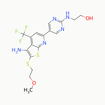 COCCSc1sc2nc(-c3cnc(NCCO)nc3)cc(C(F)(F)F)c2c1N